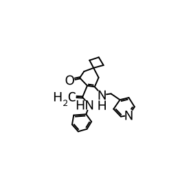 C=C(Nc1ccccc1)C1=C(NCc2ccncc2)CC2(CCC2)CC1=O